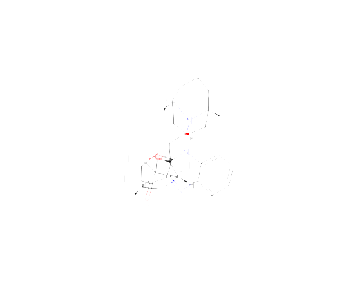 CC(=O)c1nc2ccccc2n([C@H]2C[C@H]3CCC[C@@H](C2)N3CC[C@@H]2CC[C@H]3C[C@@H]2C3(C)C)c1=O